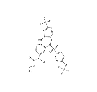 CCOC(=O)C(O)c1ccc2c(c1)N(S(=O)(=O)c1ccc(OC(F)(F)F)cc1)Cc1ccc(C(F)(F)F)nc1N2